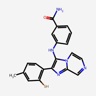 Cc1ccc(-c2nc3cnccn3c2Nc2cccc(C(N)=O)c2)c(S)c1